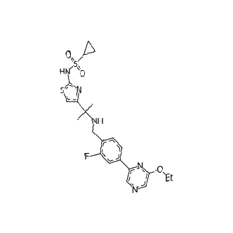 CCOc1cncc(-c2ccc(CNC(C)(C)c3csc(NS(=O)(=O)C4CC4)n3)c(F)c2)n1